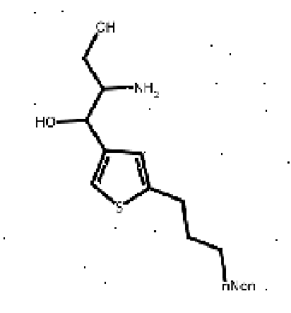 CCCCCCCCCCCCc1cc(C(O)C(N)CO)cs1